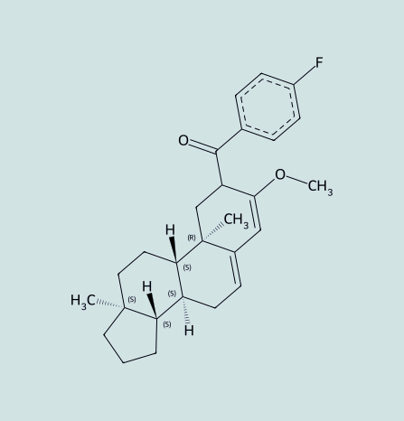 COC1=CC2=CC[C@H]3[C@@H]4CCC[C@@]4(C)CC[C@@H]3[C@@]2(C)CC1C(=O)c1ccc(F)cc1